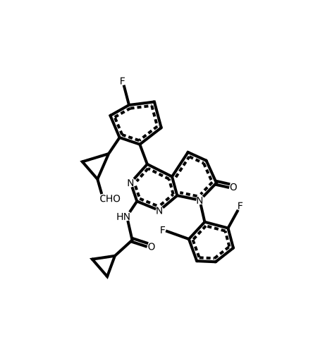 O=CC1CC1c1cc(F)ccc1-c1nc(NC(=O)C2CC2)nc2c1ccc(=O)n2-c1c(F)cccc1F